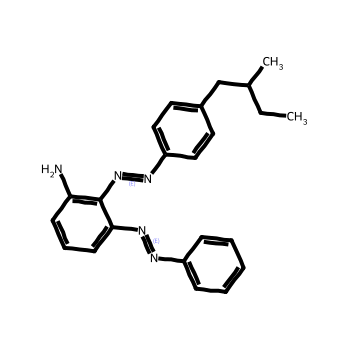 CCC(C)Cc1ccc(/N=N/c2c(N)cccc2/N=N/c2ccccc2)cc1